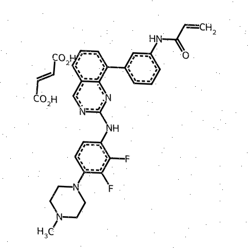 C=CC(=O)Nc1cccc(-c2cccc3cnc(Nc4ccc(N5CCN(C)CC5)c(F)c4F)nc23)c1.O=C(O)C=CC(=O)O